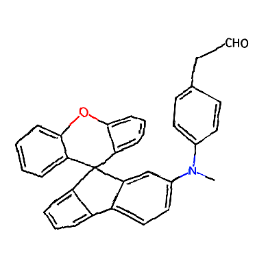 CN(c1ccc(CC=O)cc1)c1ccc2c(c1)C1(c3ccccc3Oc3ccccc31)c1ccccc1-2